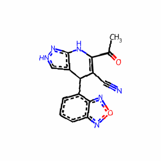 CC(=O)C1=C(C#N)C(c2cccc3nonc23)c2c[nH]nc2N1